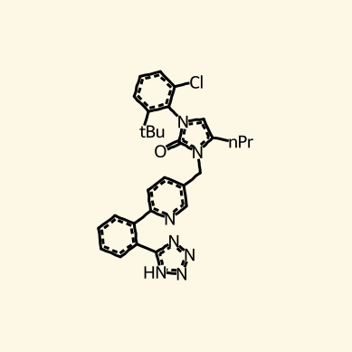 CCCc1cn(-c2c(Cl)cccc2C(C)(C)C)c(=O)n1Cc1ccc(-c2ccccc2-c2nnn[nH]2)nc1